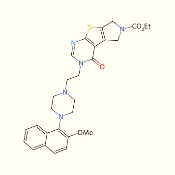 CCOC(=O)N1Cc2sc3ncn(CCN4CCN(c5c(OC)ccc6ccccc56)CC4)c(=O)c3c2C1